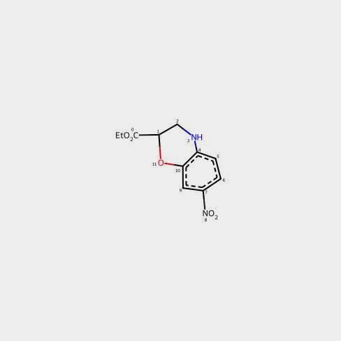 CCOC(=O)C1CNc2ccc([N+](=O)[O-])cc2O1